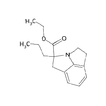 CCCC1(C(=O)OCC)Cc2cccc3c2N1CC3